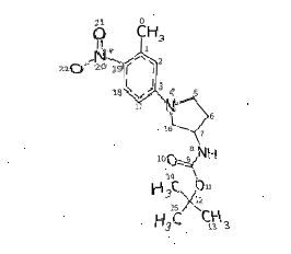 Cc1cc(N2CCC(NC(=O)OC(C)(C)C)C2)ccc1[N+](=O)[O-]